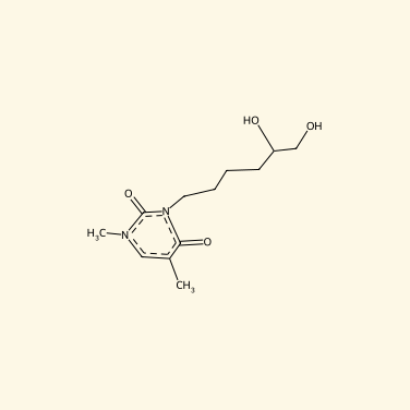 Cc1cn(C)c(=O)n(CCCCC(O)CO)c1=O